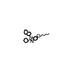 CCCCCCOc1ccc2nc(-c3ccccc3)n(-c3ccc4ccccc4c3)c2c1